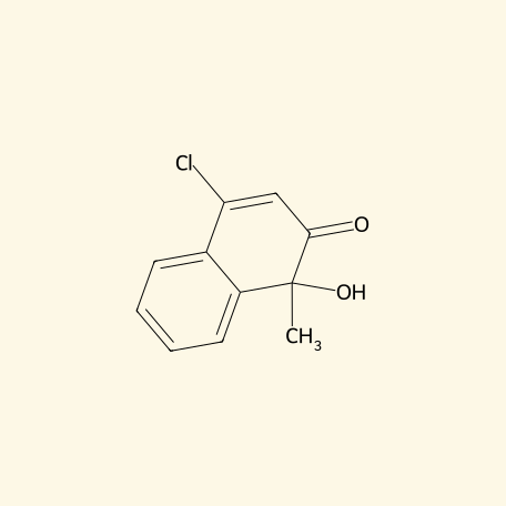 CC1(O)C(=O)C=C(Cl)c2ccccc21